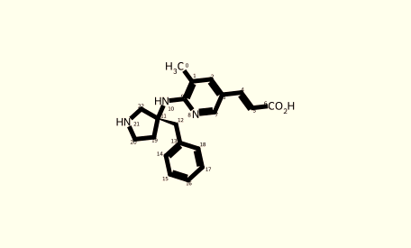 Cc1cc(/C=C/C(=O)O)cnc1N[C@]1(Cc2ccccc2)CCNC1